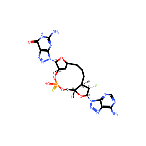 Nc1nc2c(nnn2[C@@H]2OC3CCC[C@H]4[C@H](F)[C@H](n5nnc6c(N)ncnc65)O[C@@H]4COP(O)(=S)O[C@@H]2C3)c(=O)[nH]1